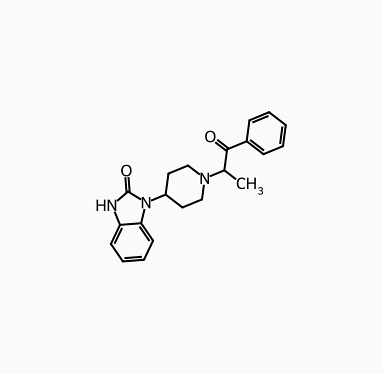 CC(C(=O)c1ccccc1)N1CCC(n2c(=O)[nH]c3ccccc32)CC1